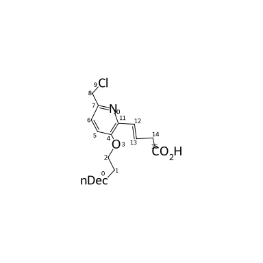 CCCCCCCCCCCCOc1ccc(CCl)nc1/C=C/CC(=O)O